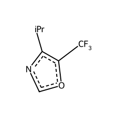 CC(C)c1ncoc1C(F)(F)F